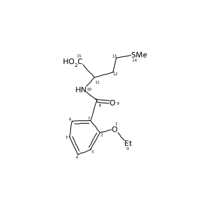 CCOc1ccccc1C(=O)NC(CCSC)C(=O)O